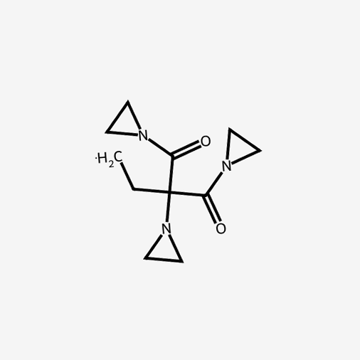 [CH2]CC(C(=O)N1CC1)(C(=O)N1CC1)N1CC1